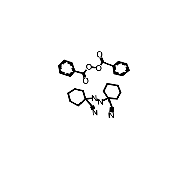 N#CC1(N=NC2(C#N)CCCCC2)CCCCC1.O=C(OOC(=O)c1ccccc1)c1ccccc1